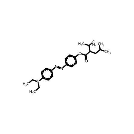 CCN(CC)c1ccc(N=Nc2ccc(OC(=O)C(CC(C)C)C(C)C)cc2)cc1